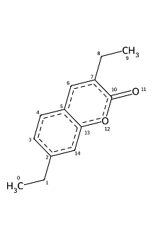 CCc1ccc2cc(CC)c(=O)oc2c1